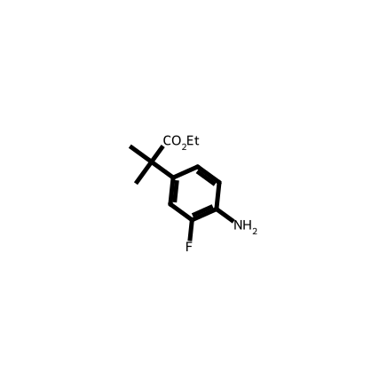 CCOC(=O)C(C)(C)c1ccc(N)c(F)c1